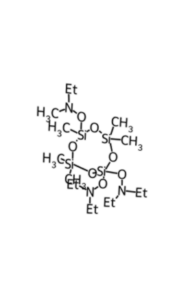 CCN(C)O[Si]1(C)O[Si](C)(C)O[Si](ON(CC)CC)(ON(CC)CC)O[Si](C)(C)O1